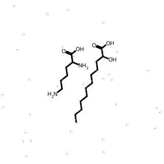 CCCCCCCCCCC(O)C(=O)O.NCCCCC(N)C(=O)O